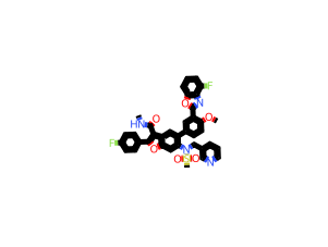 CNC(=O)c1c(-c2ccc(F)cc2)oc2cc(N(Cc3cccnc3)S(C)(=O)=O)c(-c3ccc(OC)c(-c4nc5c(F)cccc5o4)c3)cc12